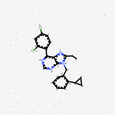 CCc1nc2c(-c3ccc(Cl)cc3Cl)ncnc2n1Cc1ccccc1C1CC1